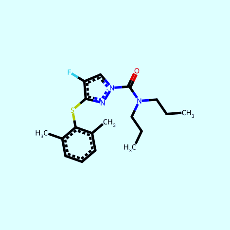 CCCN(CCC)C(=O)n1cc(F)c(Sc2c(C)cccc2C)n1